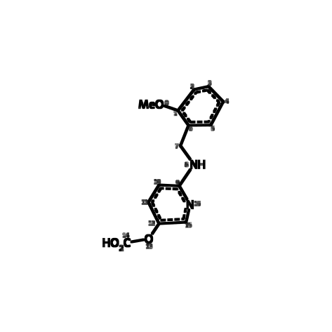 COc1ccccc1CNc1ccc(OC(=O)O)cn1